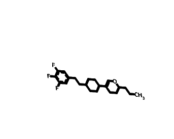 CCCC1CCC(C2CCC(CCc3cc(F)c(F)c(F)c3)CC2)=CO1